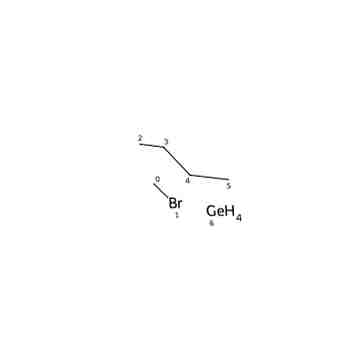 CBr.CCCC.[GeH4]